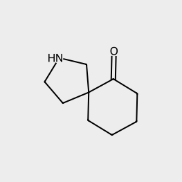 O=C1CCCCC12CCNC2